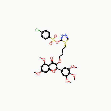 COc1cc(OC)c2c(=O)c(OCCCC[SH]3C=NN=C3OS(=O)(=O)c3ccc(Cl)cc3)c(-c3cc(OC)c(OC)c(OC)c3)oc2c1